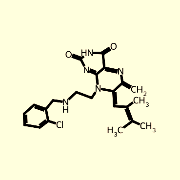 C=c1nc2c(=O)[nH]c(=O)nc-2n(CCNCc2ccccc2Cl)/c1=C/C(C)=C(C)C